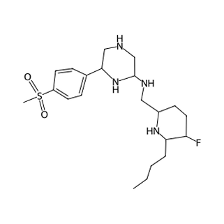 CCCCC1NC(CNC2CNCC(c3ccc(S(C)(=O)=O)cc3)N2)CCC1F